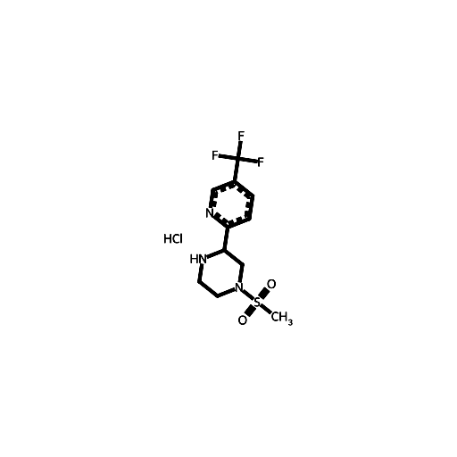 CS(=O)(=O)N1CCNC(c2ccc(C(F)(F)F)cn2)C1.Cl